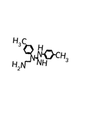 Cc1ccc(NC(=N)N(CCN)c2ccc(C)cc2)cc1